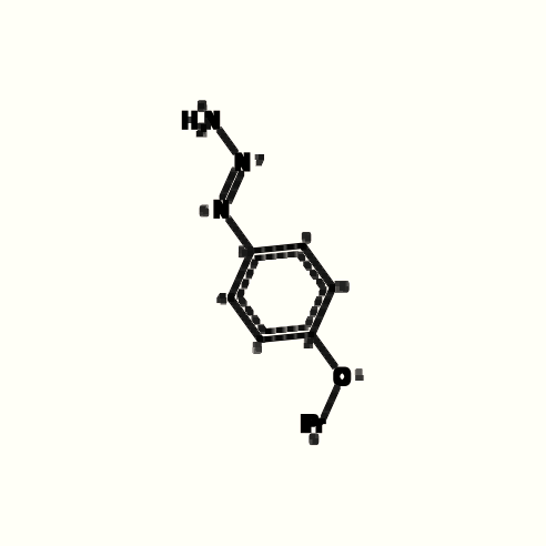 CC(C)Oc1ccc(N=NN)cc1